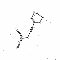 O=[C]=[Fe](=[C]=O)[CH2]C#CC1=CCCCC1